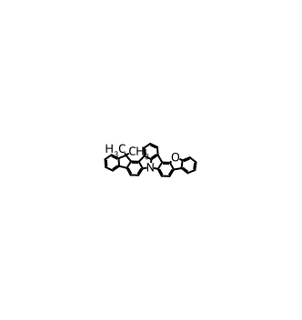 CC1(C)c2ccccc2-c2ccc3c(c21)c1cccc2c4c5oc6ccccc6c5ccc4n3c12